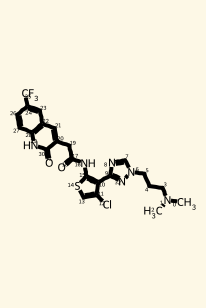 CN(C)CCCn1cnc(-c2c(Cl)csc2NC(=O)Cc2cc3cc(C(F)(F)F)ccc3[nH]c2=O)n1